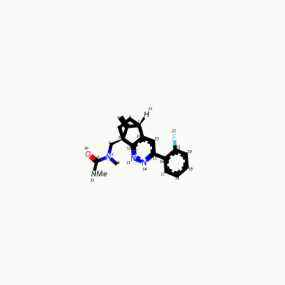 C=C1[C@@H]2CC[C@@]1(CN(C)C(=O)NC)c1nnc(-c3ccccc3F)cc12